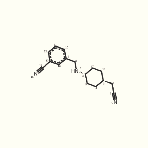 N#CC[C@H]1CC[C@H](NCc2cccc(C#N)c2)CC1